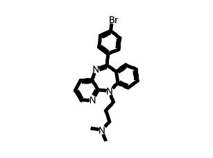 CN(C)CCCN1c2ccccc2C(c2ccc(Br)cc2)=Nc2cccnc21